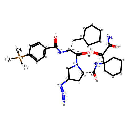 CS(C)(C)c1ccc(C(=O)N[C@H](CC2CCCCC2)C(=O)N2CC(N=[N+]=[N-])C[C@H]2C(=O)NC2(C(=O)C(N)=O)CCCCC2)cc1